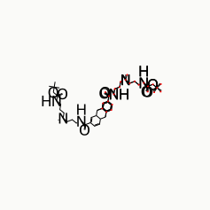 CN(CCCNC(=O)OC(C)(C)C)CCCNC(=O)C1=CC2C3c4cc(C(=O)NCCCN(C)CCCNC(=O)OC(C)(C)C)ccc4C(c4ccc(C(=O)NCCCN(C)CCCNC(=O)OC(C)(C)C)cc43)C2C=C1